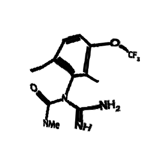 CNC(=O)N(C(=N)N)c1c(C)ccc(OC(F)(F)F)c1C